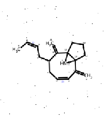 C=C1/C=C\CC(C/C=C\C)C(=C)C23CCCC12N3